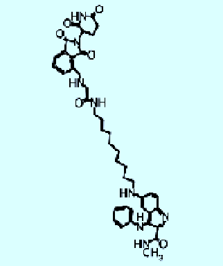 CNC(=O)c1cnc2ccc(NCCCCCCCCCCNC(=O)CNCc3cccc4c3C(=O)N(C3CCC(=O)NC3=O)C4=O)cc2c1Nc1ccccc1